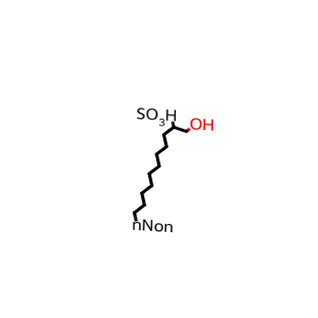 CCCCCCCCCCCCCCCCCCC(CO)S(=O)(=O)O